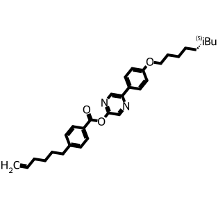 C=CCCCCc1ccc(C(=O)Oc2cnc(-c3ccc(OCCCCC[C@@H](C)CC)cc3)cn2)cc1